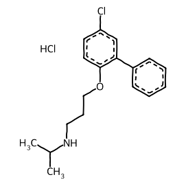 CC(C)NCCCOc1ccc(Cl)cc1-c1ccccc1.Cl